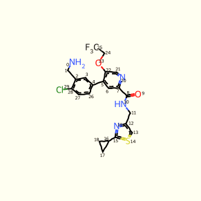 NCc1cc(-c2cc(C(=O)NCc3csc(C4CC4)n3)ncc2OCC(F)(F)F)ccc1Cl